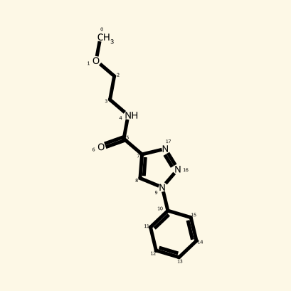 COCCNC(=O)c1cn(-c2ccccc2)nn1